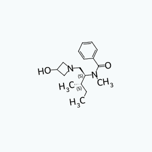 CC[C@H](C)[C@@H](CN1CC(O)C1)N(C)C(=O)c1ccccc1